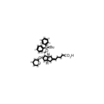 CC(C)(C)[Si](OC[C@@H]1[C@H]2C/C(=C\CCCC(=O)O)C[C@H]2C[C@H]1OC1CCCCO1)(c1ccccc1)c1ccccc1